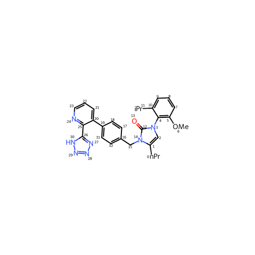 CCCc1cn(-c2c(OC)cccc2C(C)C)c(=O)n1Cc1ccc(-c2cccnc2-c2nnn[nH]2)cc1